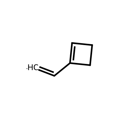 [CH]=CC1=CCC1